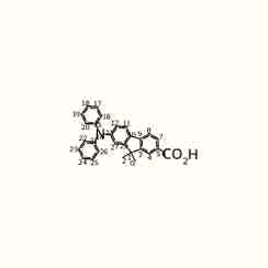 CC1(C)c2cc(C(=O)O)ccc2-c2ccc(N(c3ccccc3)c3ccccc3)cc21